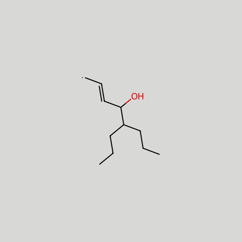 [CH2]C=CC(O)C(CCC)CCC